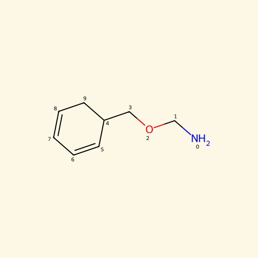 NCOCC1C=CC=CC1